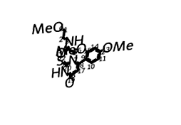 COCCNC(=O)Cn1c(-c2ccc(OC)cc2OC)cc(=O)[nH]c1=S